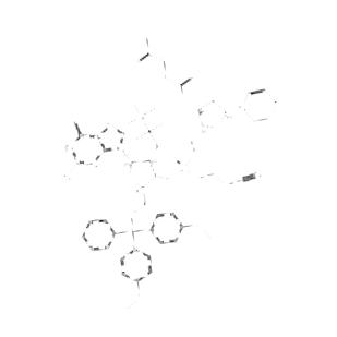 COc1ccc(C(OC[C@H]2O[C@@H](n3cnc4c(=O)[nH]c(N)nc43)[C@@H](CC(C)(C)[Si](C)(C)O)C2OP(=O)(OCCC#N)OC[C@H]2O[C@@H](N3C=CCOC3)C[C@H]2OC(=O)CCC(C)=O)(c2ccccc2)c2ccc(OC)cc2)cc1